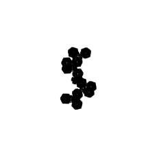 CC1(C)c2cc(N(c3ccc4c(c3)c3ccccc3n4-c3ccccc3)c3cccc4ccccc34)ccc2-c2ccc(N(c3ccc4c(c3)c3ccccc3n4-c3ccccc3)c3cccc4ccccc34)cc21